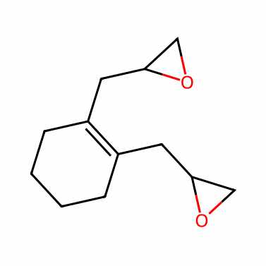 C1CCC(CC2CO2)=C(CC2CO2)C1